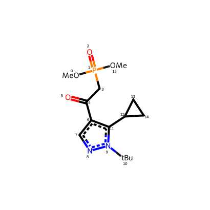 COP(=O)(CC(=O)c1cnn(C(C)(C)C)c1C1CC1)OC